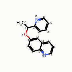 CC(Oc1ccc2ncccc2c1)c1ccccn1